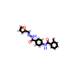 Cc1ccccc1C(=O)Nc1ccc(C(=O)N/N=C/C2CC=CO2)cc1